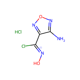 Cl.Nc1nonc1/C(Cl)=N/O